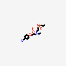 CCCS(=O)(=O)CCCN(CC)CC(O)COc1ccc(C#N)cc1